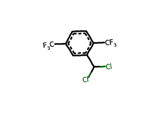 FC(F)(F)c1ccc(C(F)(F)F)c(C(Cl)Cl)c1